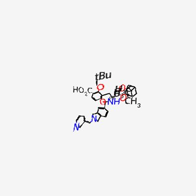 CC(C)(C)COc1c(C[C@H](NC(=O)c2ccc3c(c2)CN(Cc2cccnc2)C3)B2OC3CC4CC(C4(C)C)C3(C)O2)cccc1C(=O)O